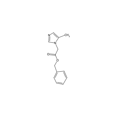 Cc1cncn1CC(=O)OCc1ccccc1